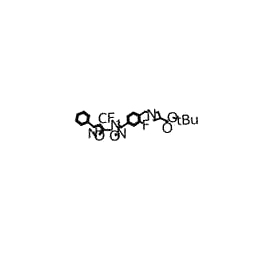 CC(C)(C)OC(=O)C1CN(Cc2ccc(-c3noc(-c4onc(-c5ccccc5)c4C(F)(F)F)n3)cc2F)C1